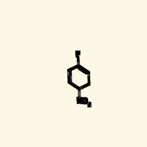 O=[N+]([O-])C1C=CC(F)=CC1